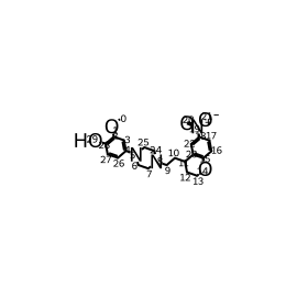 COc1cc(N2CCN(CCC3CCOc4ccc([N+](=O)[O-])cc43)CC2)ccc1O